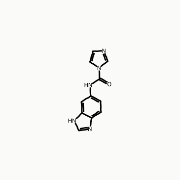 O=C(Nc1ccc2nc[nH]c2c1)n1ccnc1